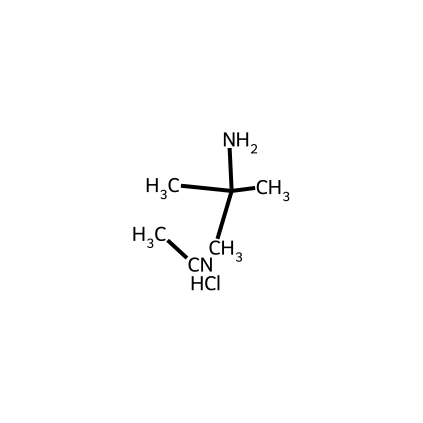 CC#N.CC(C)(C)N.Cl